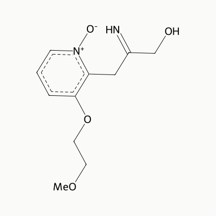 COCCOc1ccc[n+]([O-])c1CC(=N)CO